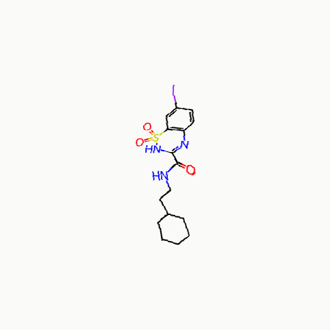 O=C(NCCC1CCCCC1)C1=Nc2ccc(I)cc2S(=O)(=O)N1